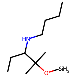 CCCCNC(CC)C(C)(C)O[SiH3]